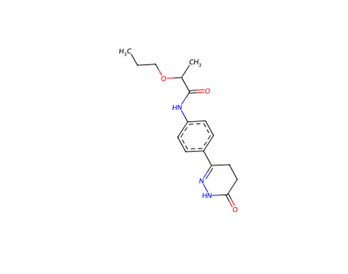 CCCOC(C)C(=O)Nc1ccc(C2=NNC(=O)CC2)cc1